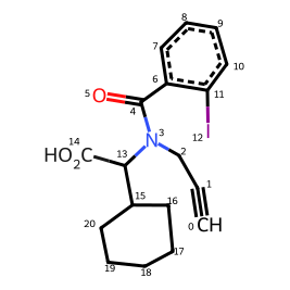 C#CCN(C(=O)c1ccccc1I)C(C(=O)O)C1CCCCC1